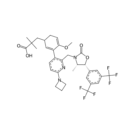 COC1=CCC(CC(C)(C)C(=O)O)C=C1c1ccc(N2CCC2)nc1CN1C(=O)O[C@H](c2cc(C(F)(F)F)cc(C(F)(F)F)c2)[C@@H]1C